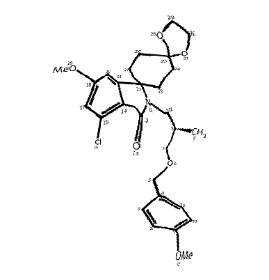 COc1ccc(COC[C@H](C)CN2C(=O)c3c(Cl)cc(OC)cc3C23CCC2(CC3)OCCO2)cc1